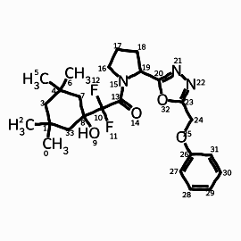 CC1(C)CC(C)(C)CC(O)(C(F)(F)C(=O)N2CCCC2c2nnc(COc3ccccc3)o2)C1